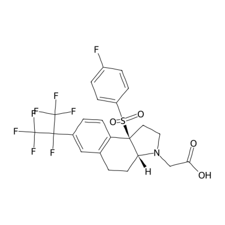 O=C(O)CN1CC[C@@]2(S(=O)(=O)c3ccc(F)cc3)c3ccc(C(F)(C(F)(F)F)C(F)(F)F)cc3CC[C@@H]12